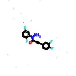 NN(C(=O)C#Cc1ccc(F)c(F)c1)c1cc(F)ccc1F